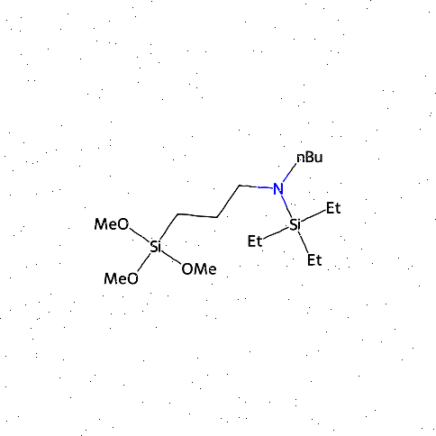 CCCCN(CCC[Si](OC)(OC)OC)[Si](CC)(CC)CC